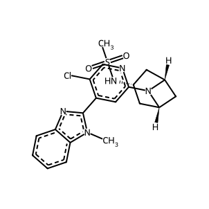 Cn1c(-c2cc(N3[C@@H]4C[C@@H](NS(C)(=O)=O)C[C@H]3C4)ncc2Cl)nc2ccccc21